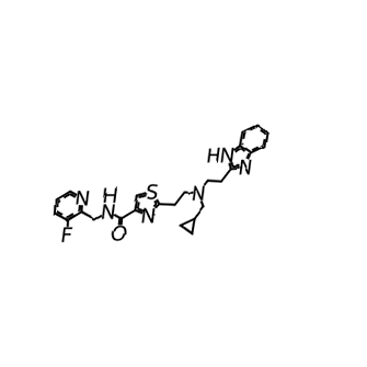 O=C(NCc1ncccc1F)c1csc(CCN(CCc2nc3ccccc3[nH]2)CC2CC2)n1